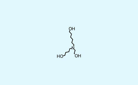 OCCCCCCN(CCO)CCCCO